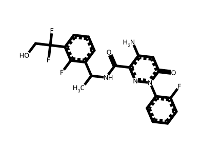 CC(NC(=O)c1nn(-c2ccccc2F)c(=O)cc1N)c1cccc(C(F)(F)CO)c1F